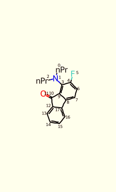 CCCN(CCC)c1c(F)ccc2c1C(=O)c1ccccc1-2